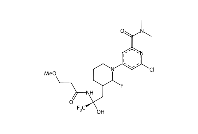 COCCC(=O)N[C@@](O)(CC1CCCN(c2cc(Cl)nc(C(=O)N(C)C)c2)C1F)C(F)(F)F